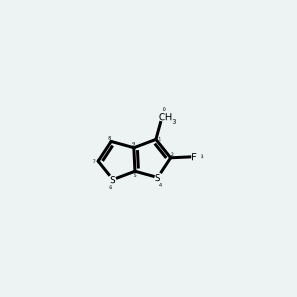 Cc1c(F)sc2sccc12